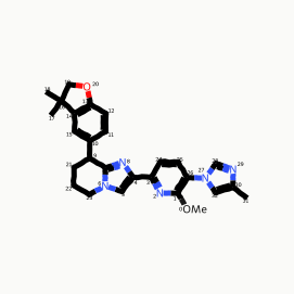 COc1nc(-c2cn3c(n2)C(c2ccc4c(c2)C(C)(C)CO4)CCC3)ccc1-n1cnc(C)c1